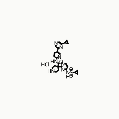 Cl.O=C(Nc1ccc(-c2cncc(C3CC3)n2)cn1)C1(c2nccc(NS(=O)(=O)C3CC3)n2)CCNCC1